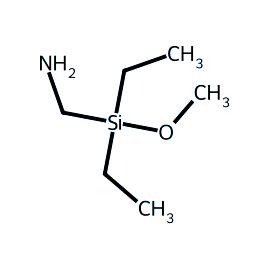 CC[Si](CC)(CN)OC